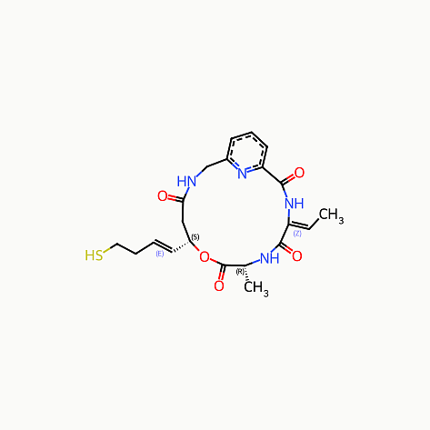 C/C=C1\NC(=O)c2cccc(n2)CNC(=O)C[C@@H](/C=C/CCS)OC(=O)[C@@H](C)NC1=O